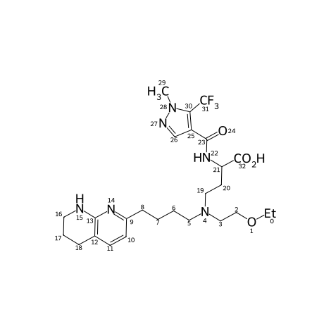 CCOCCN(CCCCc1ccc2c(n1)NCCC2)CCC(NC(=O)c1cnn(C)c1C(F)(F)F)C(=O)O